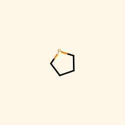 C1CC[P]C1